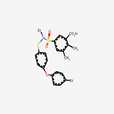 CCc1ccc(Oc2ccc(SN(CC)S(=O)(=O)c3cc(C)c(C)c(C(=O)O)c3)cc2)cc1